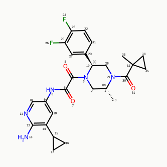 C[C@@H]1CN(C(=O)C(=O)Nc2cnc(N)c(C3CC3)c2)[C@@H](c2ccc(F)c(F)c2)CN1C(=O)C1(C)CC1